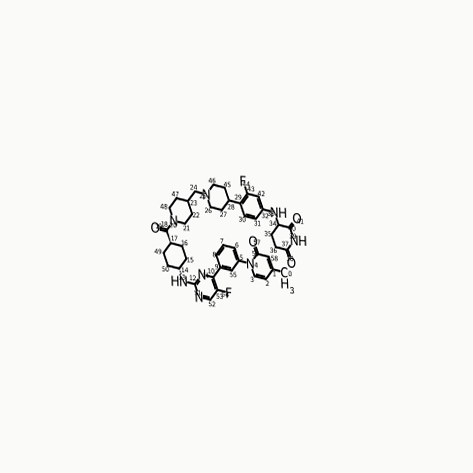 Cc1ccn(-c2cccc(-c3nc(N[C@H]4CC[C@H](C(=O)N5CCC(CN6CCC(c7ccc(NC8CCC(=O)NC8=O)cc7F)CC6)CC5)CC4)ncc3F)c2)c(=O)c1